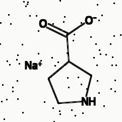 O=C([O-])C1CCNC1.[Na+]